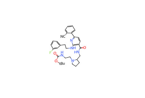 CC(C)(C)OC(=O)NCCN1CCCC1CNC(=O)c1ccc(-c2ccccc2C#N)nc1NCCc1cccc(F)c1